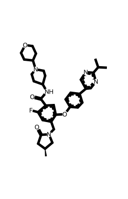 CC(C)c1ncc(-c2ccc(Oc3cc(C(=O)NC4CCN(C5CCOCC5)CC4)c(F)cc3CN3C[C@@H](C)CC3=O)cc2)cn1